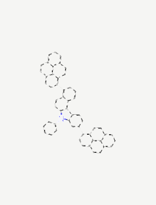 c1ccc(-n2c3cc(-c4ccc5ccc6cccc7ccc4c5c67)ccc3c3c4cccc(-c5ccc6ccc7cccc8ccc5c6c78)c4ccc32)cc1